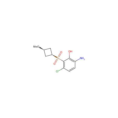 CO[C@H]1C[C@@H](S(=O)(=O)c2c(Cl)ccc(N)c2O)C1